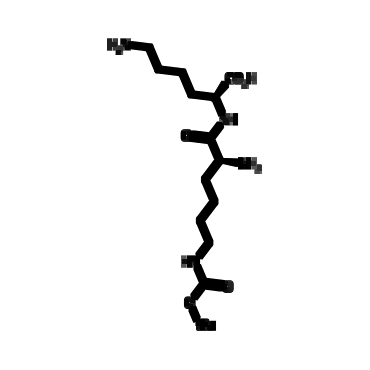 CC(C)(C)OC(=O)NCCCC[C@H](N)C(=O)N[C@@H](CCCCN)C(=O)O